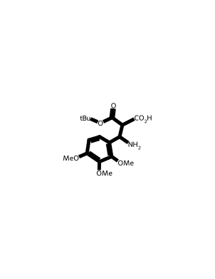 COc1ccc(C(N)C(C(=O)O)C(=O)OC(C)(C)C)c(OC)c1OC